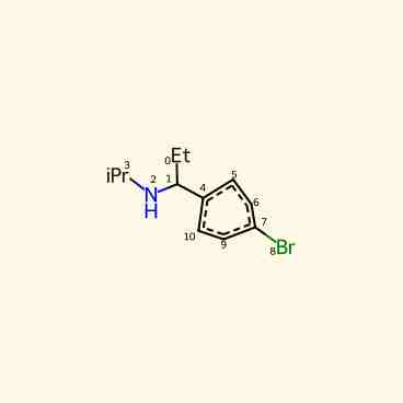 CCC(NC(C)C)c1ccc(Br)cc1